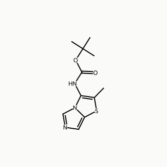 Cc1sc2cncn2c1NC(=O)OC(C)(C)C